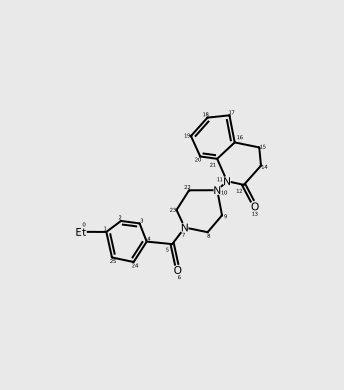 CCc1ccc(C(=O)N2CCN(N3C(=O)CCc4ccccc43)CC2)cc1